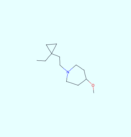 CCC1(CCN2CCC(OC)CC2)CC1